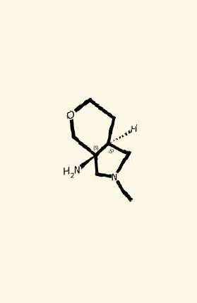 CN1C[C@@H]2CCOC[C@@]2(N)C1